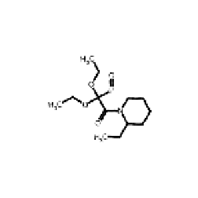 CCOC(OCC)(P=O)C(=O)N1CCCCC1CC